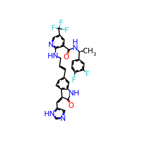 C[C@H](NC(=O)c1cc(C(F)(F)F)cnc1NC/C=C/c1ccc2c(c1)NC(=O)/C2=C\c1cnc[nH]1)c1ccc(F)c(F)c1